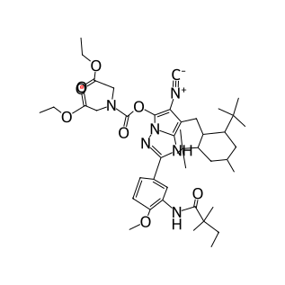 [C-]#[N+]c1c(CC2C(C(C)(C)C)CC(C)CC2C(C)(C)C)c2[nH]c(-c3ccc(OC)c(NC(=O)C(C)(C)CC)c3)nn2c1OC(=O)N(CC(=O)OCC)CC(=O)OCC